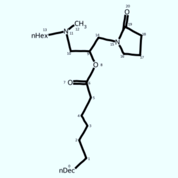 CCCCCCCCCCCCCCCC(=O)OC(CN(C)CCCCCC)CN1CCCC1=O